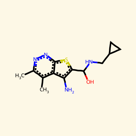 Cc1nnc2sc(C(O)NCC3CC3)c(N)c2c1C